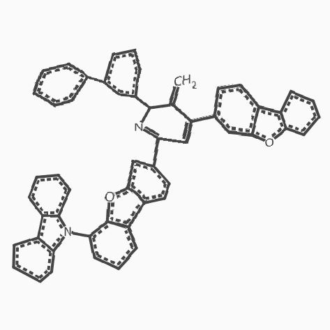 C=C1C(c2ccc3c(c2)oc2ccccc23)=CC(c2ccc3c(c2)oc2c(-n4c5ccccc5c5ccccc54)cccc23)=NC1c1cccc(-c2ccccc2)c1